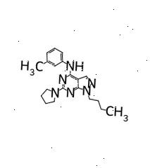 CCCCn1ncc2c(Nc3cccc(C)c3)nc(N3CCCC3)nc21